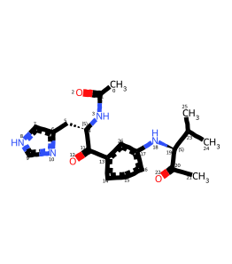 CC(=O)N[C@@H](Cc1c[nH]cn1)C(=O)c1cccc(N[C@H](C(C)=O)C(C)C)c1